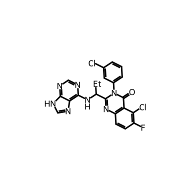 CCC(Nc1ncnc2[nH]cnc12)c1nc2ccc(F)c(Cl)c2c(=O)n1-c1cccc(Cl)c1